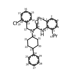 CC(C)c1cccc(C(C)C)c1NC(=O)N(Cc1ccccc1Cl)C1CCC(c2ccccc2)CC1